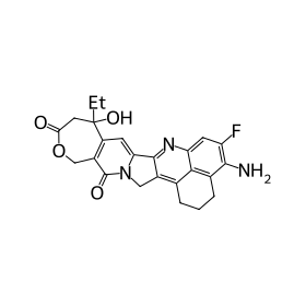 CCC1(O)CC(=O)OCc2c1cc1n(c2=O)Cc2c-1nc1cc(F)c(N)c3c1c2CCC3